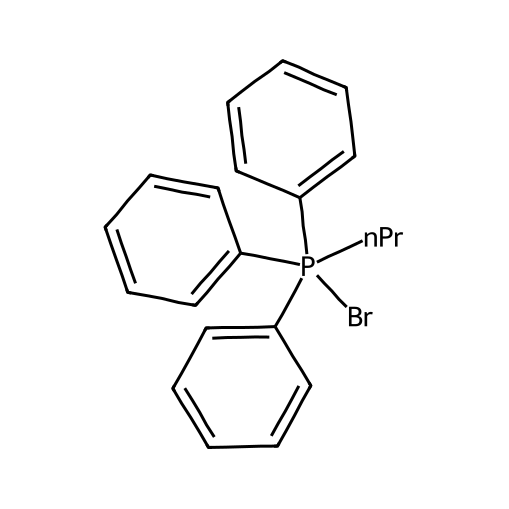 CCCP(Br)(c1ccccc1)(c1ccccc1)c1ccccc1